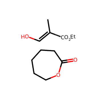 CCOC(=O)C(C)=CO.O=C1CCCCCO1